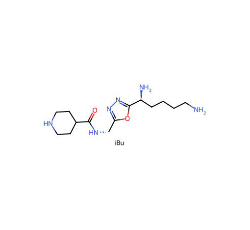 CC[C@H](C)[C@H](NC(=O)C1CCNCC1)c1nnc([C@@H](N)CCCCN)o1